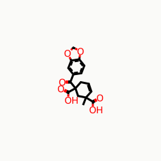 CC1(C(=O)O)C=CCC(C(=O)O)(C(=O)c2ccc3c(c2)OCO3)C1